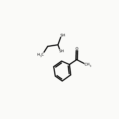 CC(=O)c1ccccc1.CCC(S)S